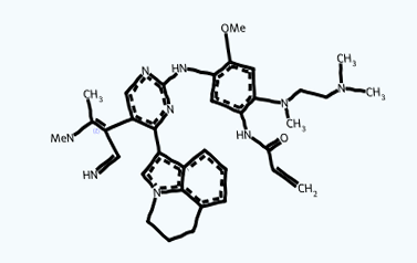 C=CC(=O)Nc1cc(Nc2ncc(/C(C=N)=C(\C)NC)c(-c3cn4c5c(cccc35)CCC4)n2)c(OC)cc1N(C)CCN(C)C